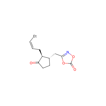 CC/C=C\C[C@@H]1C(=O)CC[C@H]1Cc1noc(=O)o1